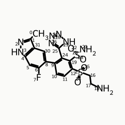 Cc1n[nH]c2cc(F)c(-c3ccc(S(=O)(=O)CCN)c(S(N)(=O)=O)c3-c3nnn[nH]3)cc12